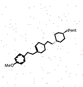 CCCCC[C@H]1CC[C@H](CCC2CC=C(CCc3ccc(OC)cc3)CC2)CC1